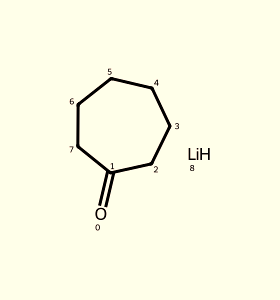 O=C1CCCCCC1.[LiH]